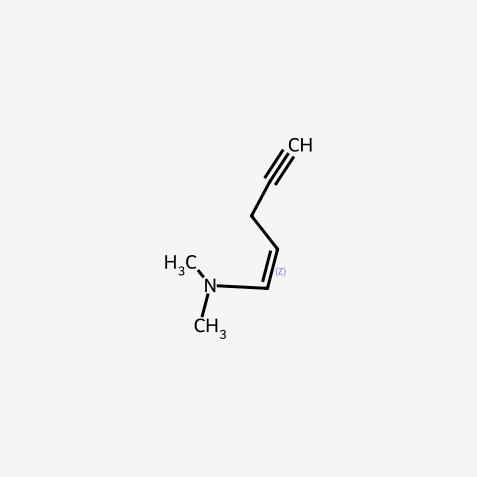 C#CC/C=C\N(C)C